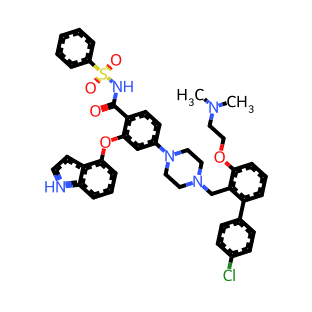 CN(C)CCOc1cccc(-c2ccc(Cl)cc2)c1CN1CCN(c2ccc(C(=O)NS(=O)(=O)c3ccccc3)c(Oc3cccc4[nH]ccc34)c2)CC1